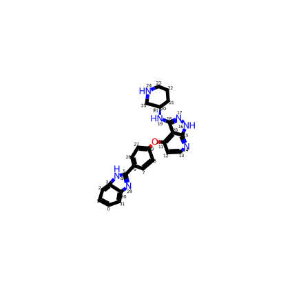 c1ccc2[nH]c(-c3ccc(Oc4ccnc5[nH]nc(N[C@@H]6CCCNC6)c45)cc3)nc2c1